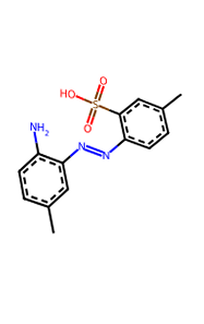 Cc1ccc(N)c(N=Nc2ccc(C)cc2S(=O)(=O)O)c1